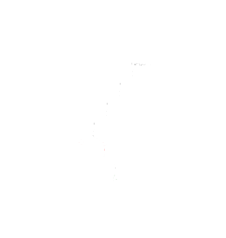 CCCCCCCCCCCCCC(=O)OCCBr